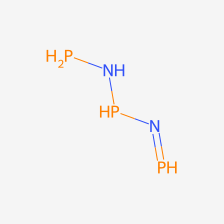 P=NPNP